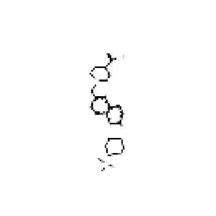 CS(C)(C)[C@H]1CC[C@H](Oc2ccc3cc(CN4CCC(C(=O)O)CC4)ccc3c2)CC1